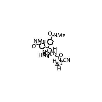 CNC(=O)c1ccc(C(C[C@@H](C)NCC(=O)N2[C@H](C#N)C[C@@H]3C[C@@H]32)(c2ccc(C(=O)NC)cc2)c2nn[nH]n2)cc1